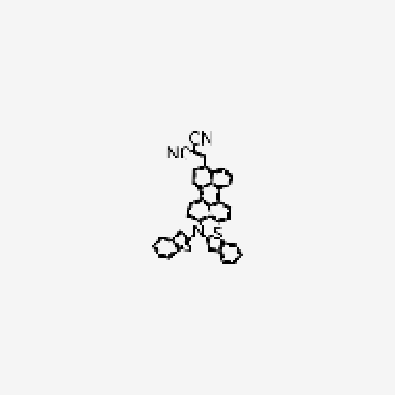 N#CC(C#N)=Cc1ccc2c3ccc(N(c4cc5ccccc5s4)c4cc5ccccc5s4)c4cccc(c5cccc1c52)c43